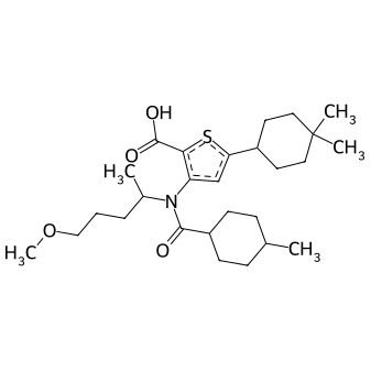 COCCCC(C)N(C(=O)C1CCC(C)CC1)c1cc(C2CCC(C)(C)CC2)sc1C(=O)O